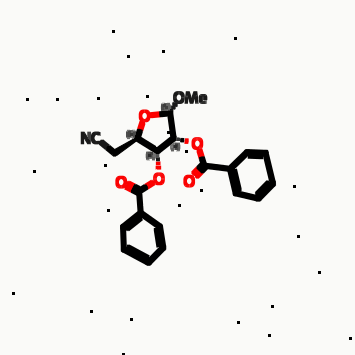 CO[C@H]1O[C@H](CC#N)[C@@H](OC(=O)c2ccccc2)[C@H]1OC(=O)c1ccccc1